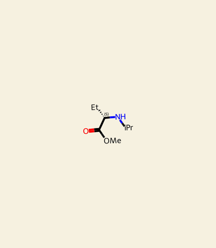 CC[C@H](NC(C)C)C(=O)OC